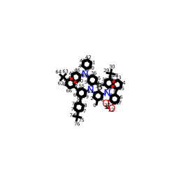 Cc1cc2c3c(c1)N(c1c(-c4ccccc4)ccc4c1OCO4)c1ccc(C(C)(C)C)cc1B3c1ccc(N(c3ccccc3)c3ccccc3)cc1N2c1cc(-c2ccc(C(C)(C)C)cc2)cc(-c2ccc(C(C)(C)C)cc2)c1